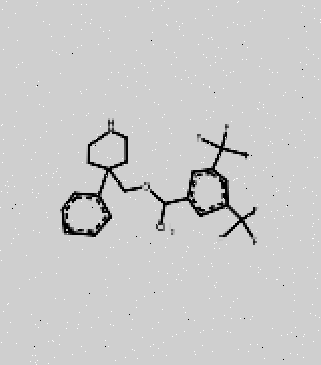 CC(OCC1(c2ccccc2)CCNCC1)c1cc(C(F)(F)F)cc(C(F)(F)F)c1